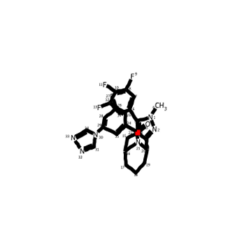 Cn1nc2c(c1-c1cc(F)c(F)c(F)c1)CC1CCCC2N1C(=O)c1cc(F)cc(-n2cnnc2)c1